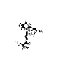 CC(C)[C@H](N)C(=O)OCCCCNC1(COC(=O)[C@@H](N)C(C)C)N=C2N=CN=C2C(=O)N1